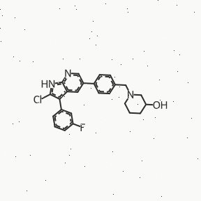 OC1CCCN(Cc2ccc(-c3cnc4[nH]c(Cl)c(-c5cccc(F)c5)c4c3)cc2)C1